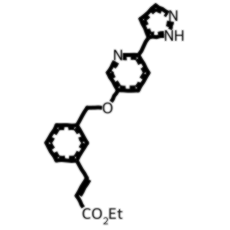 CCOC(=O)/C=C/c1cccc(COc2ccc(-c3ccn[nH]3)nc2)c1